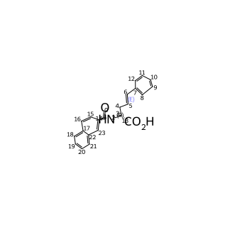 O=C(N[C@H](C/C=C/c1ccccc1)C(=O)O)c1ccc2ccccc2c1